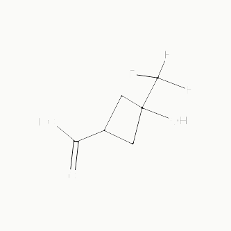 O=C(O)C1CC(O)(C(F)(F)F)C1